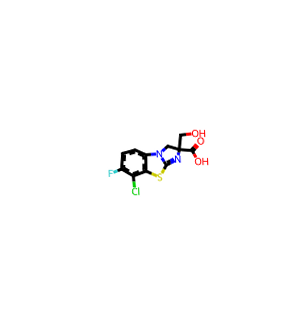 O=C(O)C1(CO)CN2C(=N1)Sc1c2ccc(F)c1Cl